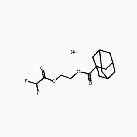 O=C(OCCOC(=O)C12CC3CC(CC(C3)C1)C2)C(F)F.[Na]